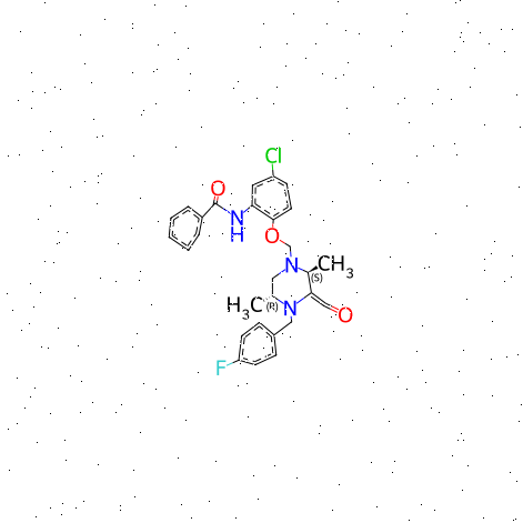 C[C@@H]1CN(COc2ccc(Cl)cc2NC(=O)c2ccccc2)[C@@H](C)C(=C=O)N1Cc1ccc(F)cc1